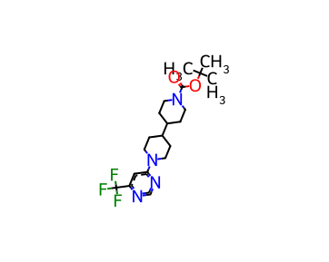 CC(C)(C)OC(=O)N1CCC(C2CCN(c3cc(C(F)(F)F)ncn3)CC2)CC1